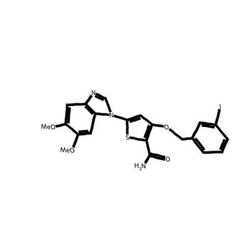 COc1cc2ncn(-c3cc(OCc4cccc(I)c4)c(C(N)=O)s3)c2cc1OC